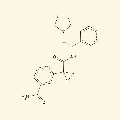 NC(=O)c1cccc(C2(C(=O)N[C@H](CN3CCCC3)c3ccccc3)CC2)c1